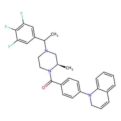 CC(c1cc(F)c(F)c(F)c1)N1CCN(C(=O)c2ccc(N3CC=Cc4ccccc43)cc2)[C@H](C)C1